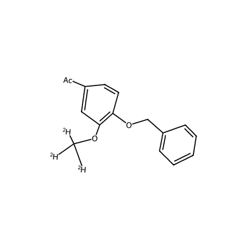 [2H]C([2H])([2H])Oc1cc(C(C)=O)ccc1OCc1ccccc1